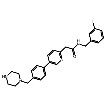 O=C(Cc1ccc(-c2ccc(CN3CCNCC3)cc2)cn1)NCc1cccc(F)c1